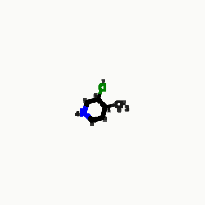 FC(F)(F)c1c[c]ncc1Cl